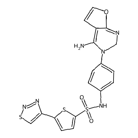 NC1=c2ccoc2=NCN1c1ccc(NS(=O)(=O)c2ccc(-c3csnn3)s2)cc1